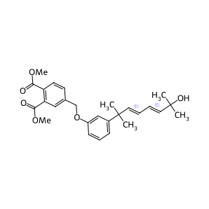 COC(=O)c1ccc(COc2cccc(C(C)(C)/C=C/C=C/C(C)(C)O)c2)cc1C(=O)OC